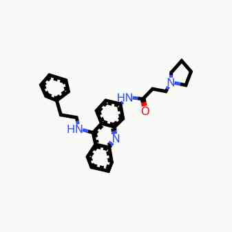 O=C(CCN1CCCC1)Nc1ccc2c(NCCc3ccccc3)c3ccccc3nc2c1